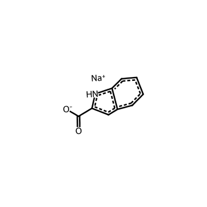 O=C([O-])c1cc2ccccc2[nH]1.[Na+]